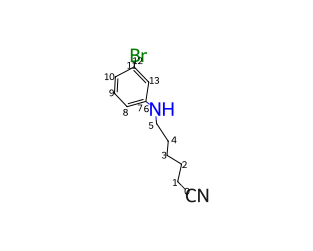 N#CCCCCCNc1cccc(Br)c1